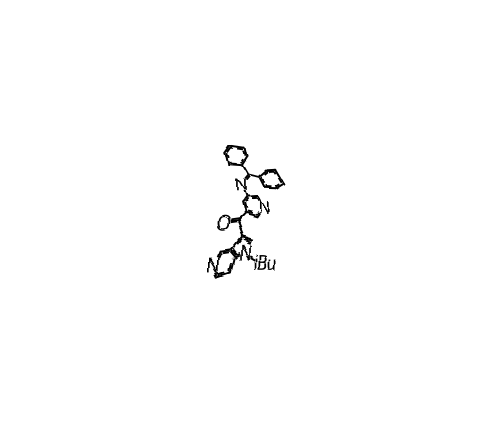 CCC(C)n1cc(C(=O)c2cncc(N=C(c3ccccc3)c3ccccc3)c2)c2cnccc21